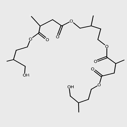 CC(CO)CCOC(=O)CC(C)C(=O)OCCC(C)COC(=O)CC(C)C(=O)OCCC(C)CO